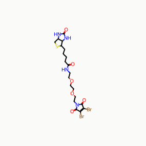 O=C(CCCCC1SCC2NC(=O)NC21)NCCOCCOCCN1C(=O)C(Br)=C(Br)C1=O